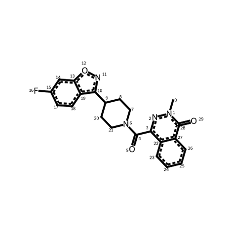 Cn1nc(C(=O)N2CCC(c3noc4cc(F)ccc34)CC2)c2ccccc2c1=O